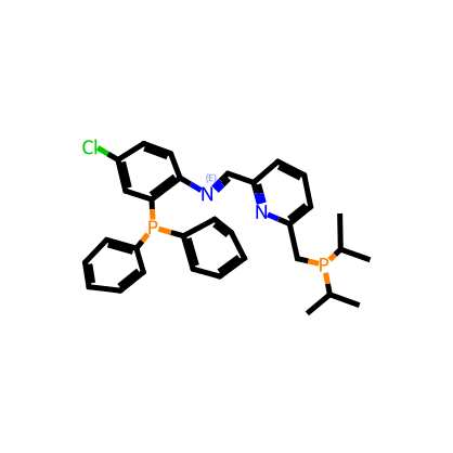 CC(C)P(Cc1cccc(/C=N/c2ccc(Cl)cc2P(c2ccccc2)c2ccccc2)n1)C(C)C